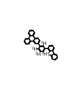 [2H]c1c([2H])c(-c2ccc3c4ccccc4c4ccccc4c3c2)c([2H])c(-c2cccc3c2sc2ccccc23)c1[2H]